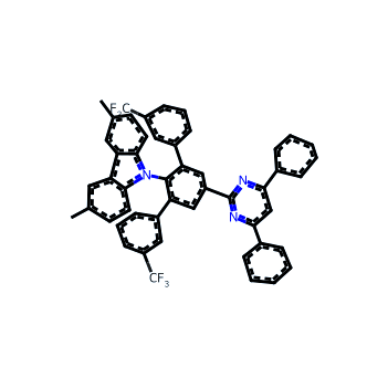 Cc1ccc2c(c1)c1cc(C)ccc1n2-c1c(-c2cccc(C(F)(F)F)c2)cc(-c2nc(-c3ccccc3)cc(-c3ccccc3)n2)cc1-c1cccc(C(F)(F)F)c1